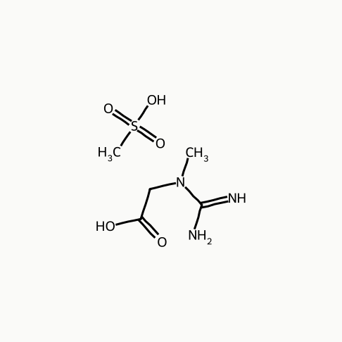 CN(CC(=O)O)C(=N)N.CS(=O)(=O)O